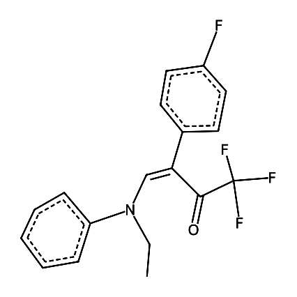 CCN(/C=C(\C(=O)C(F)(F)F)c1ccc(F)cc1)c1ccccc1